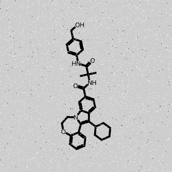 CC(C)(NC(=O)c1ccc2c(C3CCCCC3)c3n(c2c1)CCOc1ccccc1-3)C(=O)Nc1ccc(CO)cc1